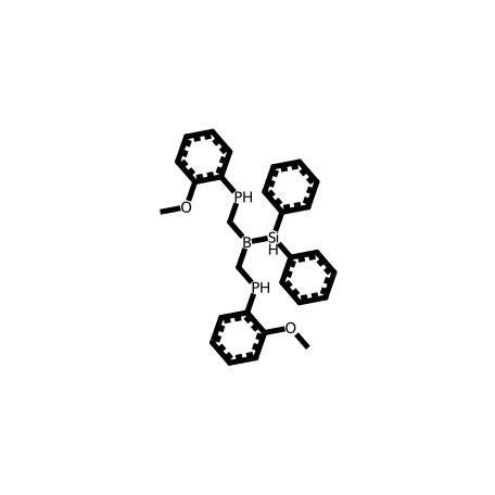 COc1ccccc1PCB(CPc1ccccc1OC)[SiH](c1ccccc1)c1ccccc1